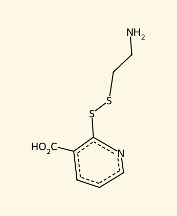 NCCSSc1ncccc1C(=O)O